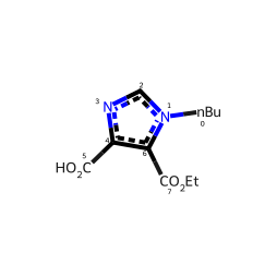 CCCCn1cnc(C(=O)O)c1C(=O)OCC